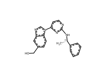 C[C@H](Nc1nccc(-n2cnc3cc(CO)ccc32)n1)c1ccccc1